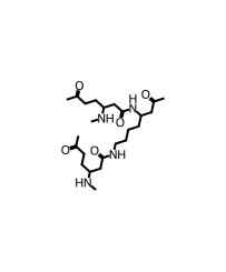 CNC(CCC(C)=O)CC(=O)NCCCCC(CC(C)=O)NC(=O)CC(CCC(C)=O)NC